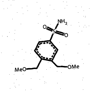 COCc1ccc(S(N)(=O)=O)cc1COC